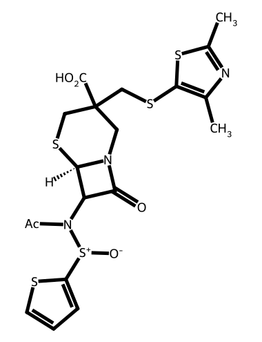 CC(=O)N(C1C(=O)N2CC(CSc3sc(C)nc3C)(C(=O)O)CS[C@H]12)[S+]([O-])c1cccs1